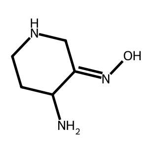 NC1CCNCC1=NO